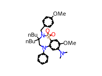 CCCCC1(CCCC)CN(c2ccccc2)c2cc(N(C)C)c(OC)cc2S(=O)(=O)N1Cc1ccc(OC)cc1